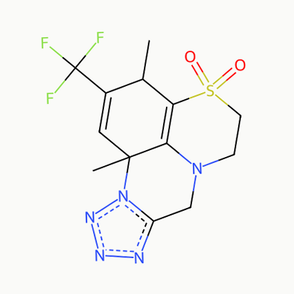 CC1C(C(F)(F)F)=CC2(C)C3=C1S(=O)(=O)CCN3Cc1nnnn12